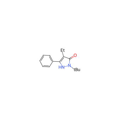 CCc1c(-c2ccccc2)[nH]n(C(C)(C)C)c1=O